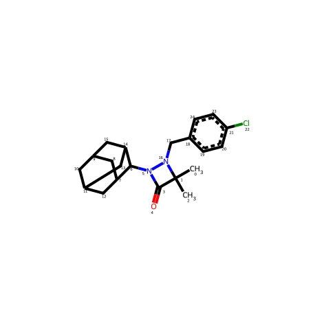 CC1(C)C(=O)N(C2C3CC4CC(C3)CC2C4)N1Cc1ccc(Cl)cc1